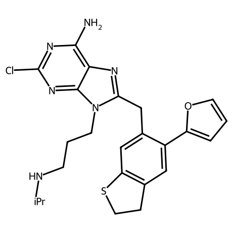 CC(C)NCCCn1c(Cc2cc3c(cc2-c2ccco2)CCS3)nc2c(N)nc(Cl)nc21